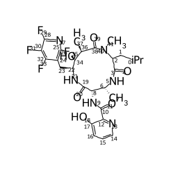 CC(C)CC1C(=O)N[C@H](C)[C@H](NC(=O)c2ncccc2O)C(=O)N[C@@H](Cc2c(F)nc(F)c(F)c2F)[C@@H](O)[C@@H](C)C(=O)N1C